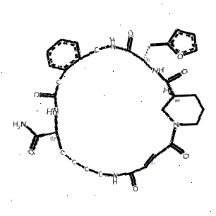 NC(=O)[C@@H]1CCCCNC(=O)/C=C/C(=O)N2CCC[C@H](C2)C(=O)N[C@@H](Cc2ccco2)C(=O)NCc2ccccc2CC(=O)N1